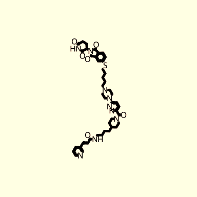 O=C(/C=C/c1cccnc1)NCCCCC1CCN(C(=O)c2ccc(N3CCN(CCCCCSc4ccc5c(c4)C(=O)N(C4CCC(=O)NC4=O)C5=O)CC3)nn2)CC1